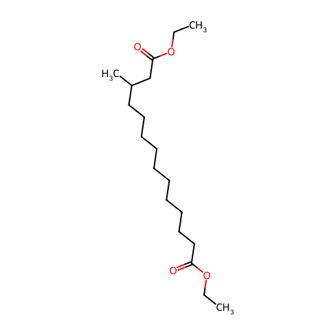 CCOC(=O)CCCCCCCCCCC(C)CC(=O)OCC